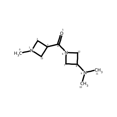 CN1CC(C(=O)N2CC(N(C)C)C2)C1